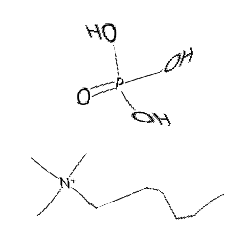 CCCC[N+](C)(C)C.O=P(O)(O)O